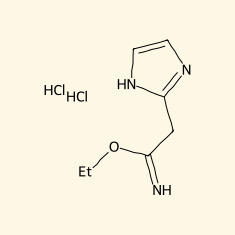 CCOC(=N)Cc1ncc[nH]1.Cl.Cl